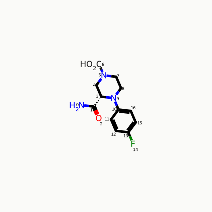 NC(=O)[C@@H]1CN(C(=O)O)CCN1c1ccc(F)cc1